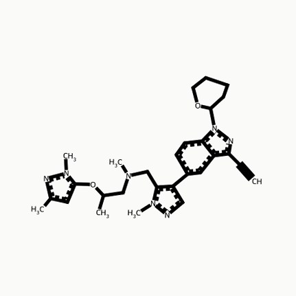 C#Cc1nn(C2CCCCO2)c2ccc(-c3cnn(C)c3CN(C)CC(C)Oc3cc(C)nn3C)cc12